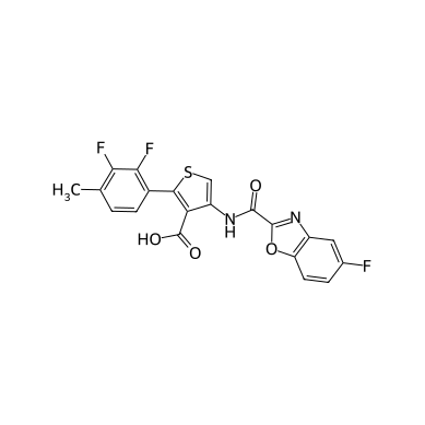 Cc1ccc(-c2scc(NC(=O)c3nc4cc(F)ccc4o3)c2C(=O)O)c(F)c1F